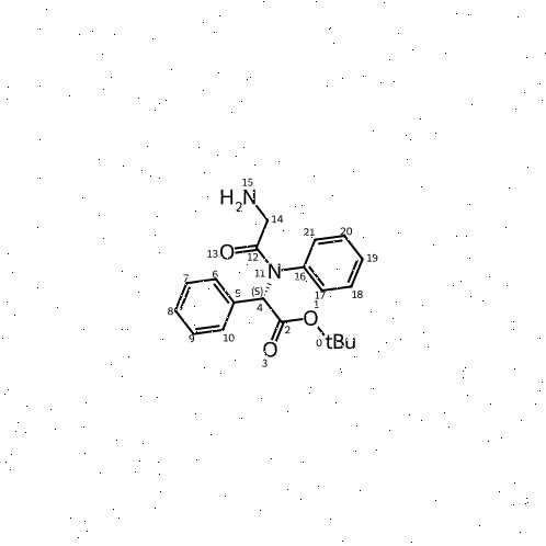 CC(C)(C)OC(=O)[C@H](c1ccccc1)N(C(=O)CN)c1ccccc1